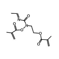 C=C(C)C(=O)OCCN(OC(=O)C(=C)C)C(=O)N=CC